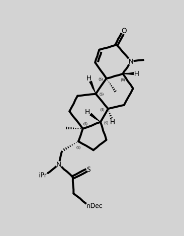 CCCCCCCCCCCC(=S)N(C[C@H]1CC[C@H]2[C@@H]3CC[C@H]4N(C)C(=O)C=C[C@]4(C)[C@H]3CC[C@]12C)C(C)C